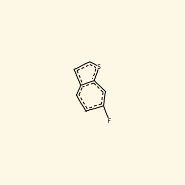 Fc1[c]cc2ccsc2c1